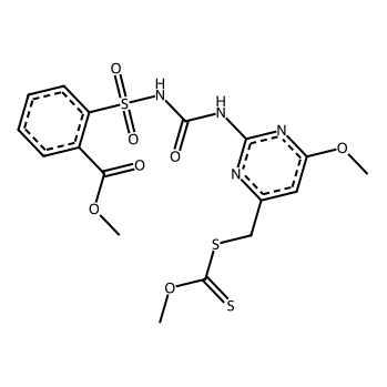 COC(=O)c1ccccc1S(=O)(=O)NC(=O)Nc1nc(CSC(=S)OC)cc(OC)n1